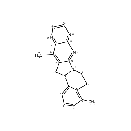 Cc1cccc2c1CCN1c3nc4nccnc4c(C)c3CN21